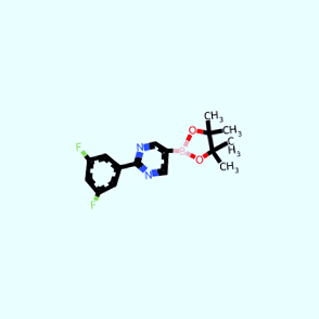 CC1(C)OB(c2cnc(-c3cc(F)cc(F)c3)nc2)OC1(C)C